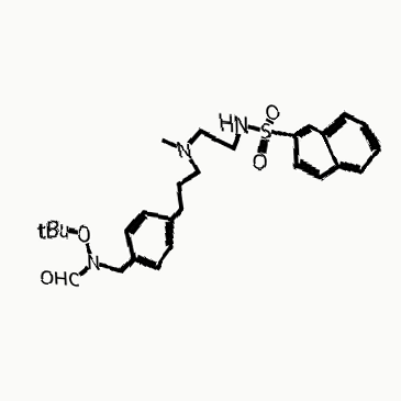 CN(CCCc1ccc(CN(C=O)OC(C)(C)C)cc1)CCNS(=O)(=O)c1ccc2ccccc2c1